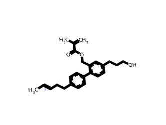 C=C(C)C(=O)OCc1cc(CCCO)ccc1-c1ccc(CC/C=C/C)cc1